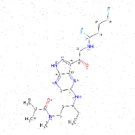 CCC(CCN(C)C(=O)C(C)C)NC1CN=c2[nH]cc(C(=O)CNC(F)CCCF)c2=N1